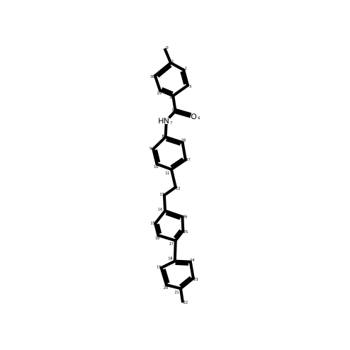 Cc1ccc(C(=O)Nc2ccc(CCc3ccc(-c4ccc(C)cc4)cc3)cc2)cc1